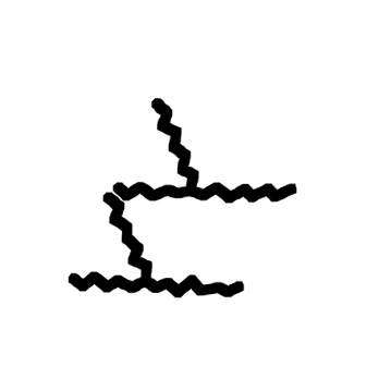 CCCCCCCCC(CCCCCC)CCCCCCCC.CCCCCCCCC(CCCCCC)CCCCCCCC